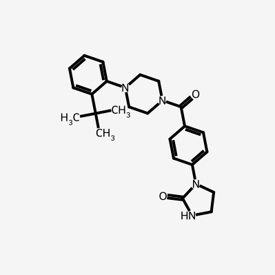 CC(C)(C)c1ccccc1N1CCN(C(=O)c2ccc(N3CCNC3=O)cc2)CC1